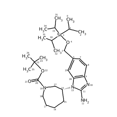 CC(C)[Si](OCc1ccc2nc(N)n([C@@H]3CCCCN(C(=O)OC(C)(C)C)C3)c2c1)(C(C)C)C(C)C